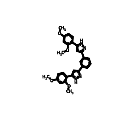 COc1ccc(-c2cc(-c3cccc(-c4cc(-c5ccc(OC)cc5OC)[nH]n4)c3)n[nH]2)c(OC)c1